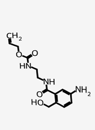 C=CCOC(=O)NCCNC(=O)c1cc(N)ccc1CO